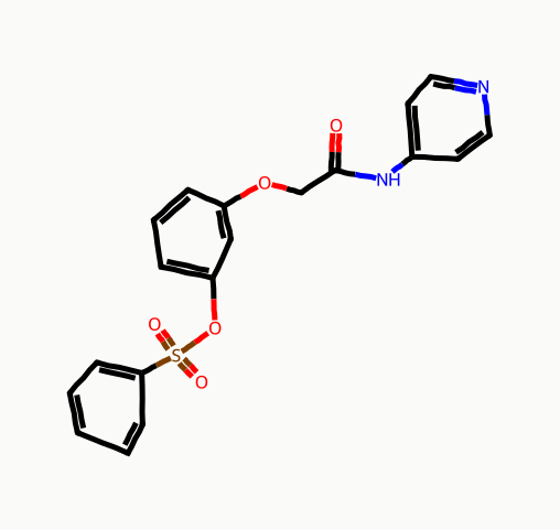 O=C(COc1cccc(OS(=O)(=O)c2ccccc2)c1)Nc1ccncc1